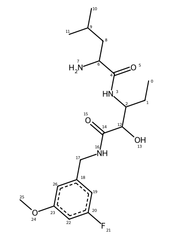 CCC(NC(=O)C(N)CC(C)C)C(O)C(=O)NCc1cc(F)cc(OC)c1